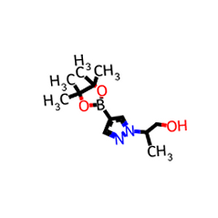 CC(CO)n1cc(B2OC(C)(C)C(C)(C)O2)cn1